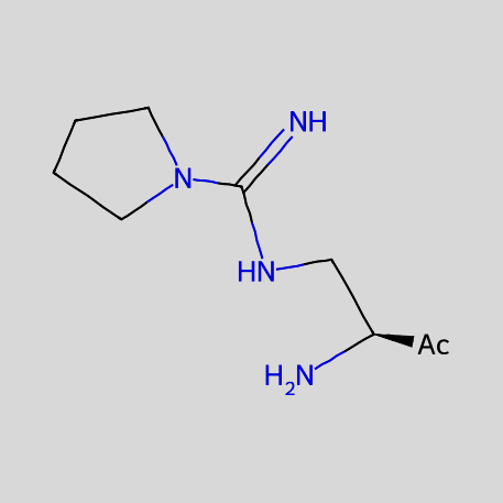 CC(=O)[C@@H](N)CNC(=N)N1CCCC1